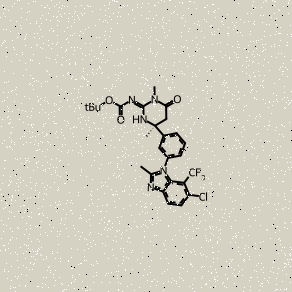 Cc1nc2ccc(Cl)c(C(F)(F)F)c2n1-c1cccc([C@]2(C)CC(=O)N(C)/C(=N/C(=O)OC(C)(C)C)N2)c1